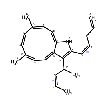 C=CC/C=C\c1[nH]c2ccc(C)ccc(C)ccc2c1C(C)/C=C\C